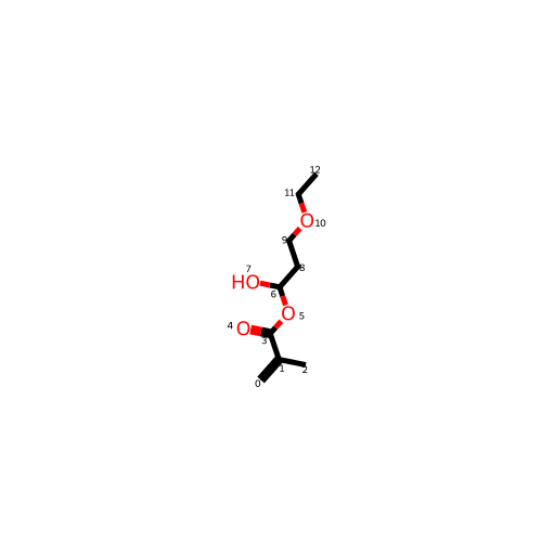 C=C(C)C(=O)OC(O)CCOCC